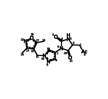 CC(=O)CC1NC(=O)N(c2cnn(Cc3c(C)noc3C)c2)C1=O